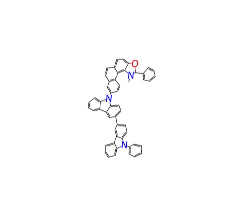 CN1c2c(ccc3ccc4cc(-n5c6ccccc6c6cc(-c7ccc8c(c7)c7ccccc7n8-c7ccccc7)ccc65)ccc4c23)OC1c1ccccc1